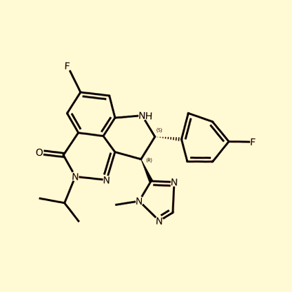 CC(C)n1nc2c3c(cc(F)cc3c1=O)N[C@H](c1ccc(F)cc1)[C@H]2c1ncnn1C